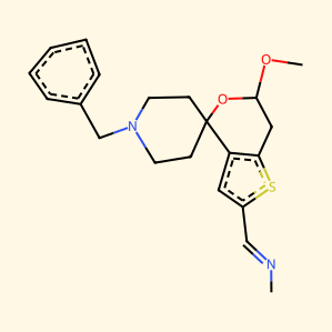 C/N=C/c1cc2c(s1)CC(OC)OC21CCN(Cc2ccccc2)CC1